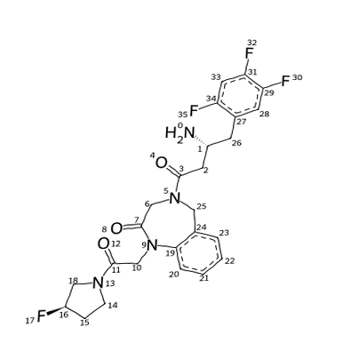 N[C@@H](CC(=O)N1CC(=O)N(CC(=O)N2CC[C@@H](F)C2)c2ccccc2C1)Cc1cc(F)c(F)cc1F